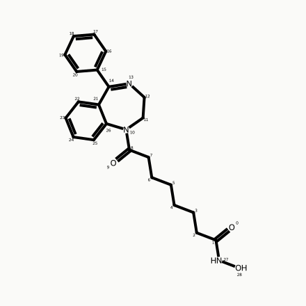 O=C(CCCCCCC(=O)N1CCN=C(c2ccccc2)c2ccccc21)NO